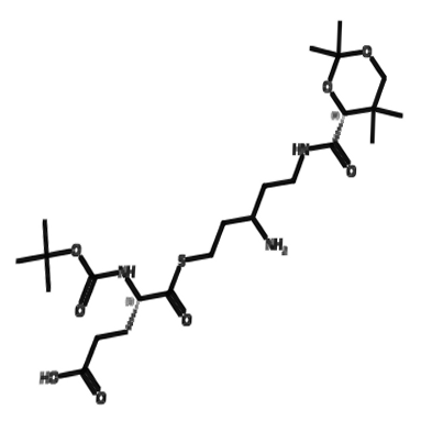 CC(C)(C)OC(=O)N[C@@H](CCC(=O)O)C(=O)SCCC(N)CCNC(=O)[C@@H]1OC(C)(C)OCC1(C)C